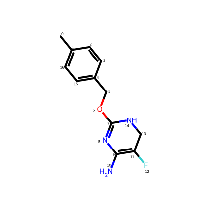 Cc1ccc(COC2=NC(N)=C(F)CN2)cc1